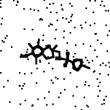 CC(=O)Oc1c(C)c(C)c2c(c1C)CCC(C)(CNS(=O)(=O)c1ccc(C)cc1)O2